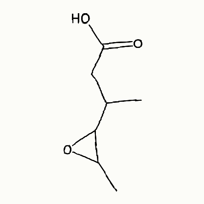 CC(CC(=O)O)C1OC1C